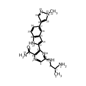 C[C@H](N)CNc1cnc(C(N)=O)c(-c2cc3cc(-c4cnn(C)c4)ccc3[nH]2)n1